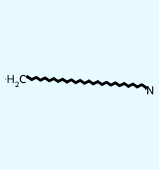 [CH2]CCCCCCCCCCCCCCCCCCCCCCCCCCCC#N